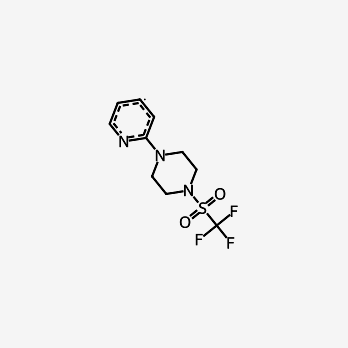 O=S(=O)(N1CCN(c2c[c]ccn2)CC1)C(F)(F)F